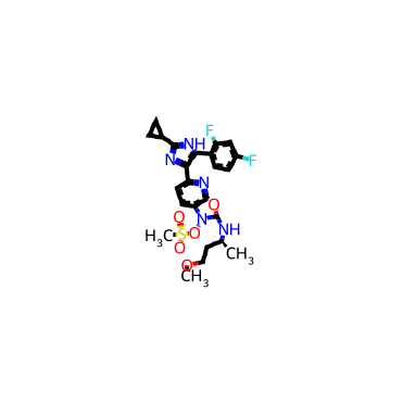 COCC[C@H](C)NC1Oc2nc(-c3nc(C4CC4)[nH]c3-c3ccc(F)cc3F)ccc2N1OS(C)(=O)=O